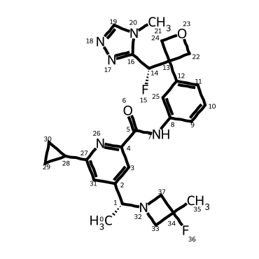 C[C@H](c1cc(C(=O)Nc2cccc(C3([C@H](F)c4nncn4C)COC3)c2)nc(C2CC2)c1)N1CC(C)(F)C1